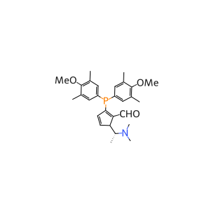 COc1c(C)cc(P(C2=C(C=O)C([C@@H](C)N(C)C)C=C2)c2cc(C)c(OC)c(C)c2)cc1C